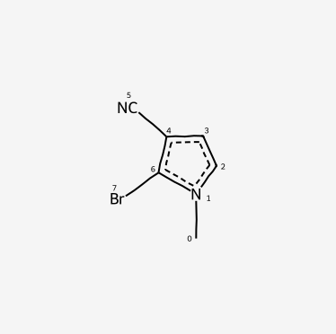 Cn1ccc(C#N)c1Br